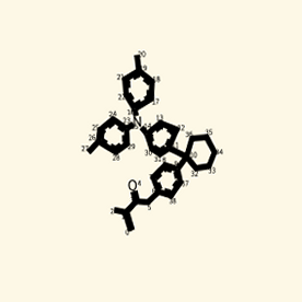 C=C(C)C(=O)Cc1ccc(C2(c3ccc(N(c4ccc(C)cc4)c4ccc(C)cc4)cc3)CCCCC2)cc1